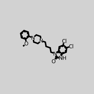 COc1ccccc1N1CCN(CCCCn2c(=O)[nH]c3cc(Cl)c(Cl)cc32)CC1